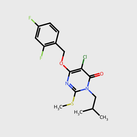 CSc1nc(OCc2ccc(F)cc2F)c(Cl)c(=O)n1CC(C)C